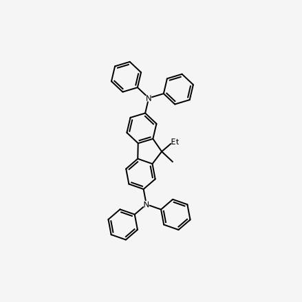 CCC1(C)c2cc(N(c3ccccc3)c3ccccc3)ccc2-c2ccc(N(c3ccccc3)c3ccccc3)cc21